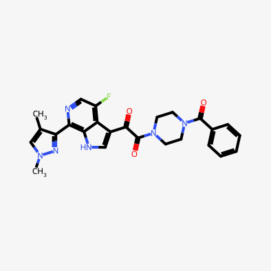 Cc1cn(C)nc1-c1ncc(F)c2c(C(=O)C(=O)N3CCN(C(=O)c4ccccc4)CC3)c[nH]c12